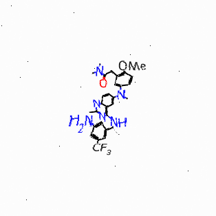 COc1ccc(N(C)c2ccc3nc(C)nc(N[C@H](C)c4cc(N)cc(C(F)(F)F)c4)c3c2)cc1CC(=O)N(C)C